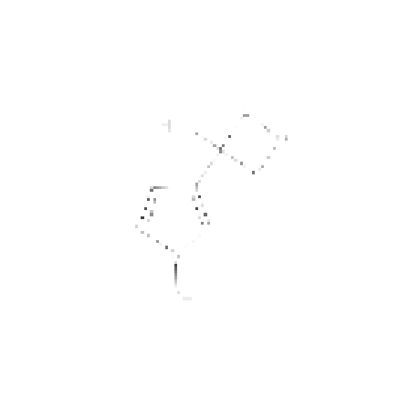 Cn1cc(C2(C)COC2)cn1